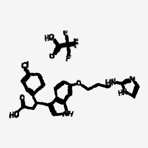 O=C(O)C(F)(F)F.O=C(O)CC(c1ccc(Cl)cc1)c1c[nH]c2cc(OCCCNc3ncc[nH]3)ccc12